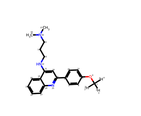 [2H]C([2H])([2H])Oc1ccc(-c2cc(NCCCN(C)C)c3ccccc3n2)cc1